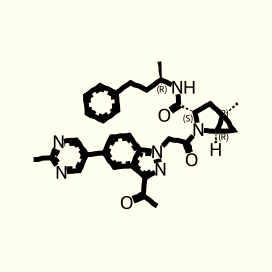 CC(=O)c1nn(CC(=O)N2[C@H](C(=O)N[C@H](C)CCc3ccccc3)C[C@@]3(C)C[C@@H]23)c2ccc(-c3cnc(C)nc3)cc12